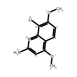 COc1ccc2c(OC)cc(N)nc2c1Cl